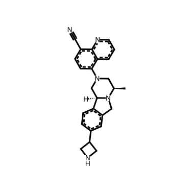 C[C@@H]1CN(c2ccc(C#N)c3ncccc23)C[C@@H]2c3ccc(C4CNC4)cc3CN12